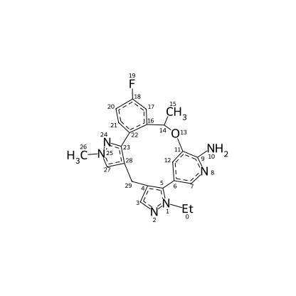 CCn1ncc2c1-c1cnc(N)c(c1)OC(C)c1cc(F)ccc1-c1nn(C)cc1C2